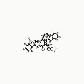 Cn1cc(C[C@@H](NC(=O)[C@@H](Cc2cn(C)c3ccccc23)NC(=O)OC(C)(C)C)C(=O)O)c2ccccc21